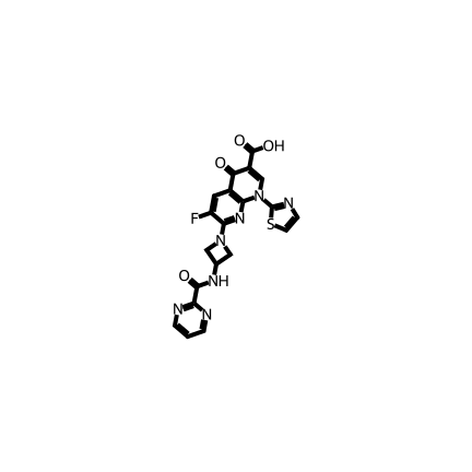 O=C(NC1CN(c2nc3c(cc2F)c(=O)c(C(=O)O)cn3-c2nccs2)C1)c1ncccn1